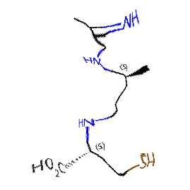 CC(=N)N[C@@H](C)CN[C@H](CS)C(=O)O